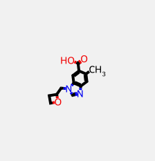 Cc1cc2ncn(CC3CCO3)c2cc1C(=O)O